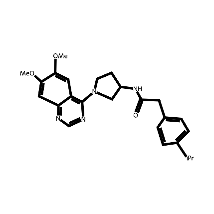 COc1cc2ncnc(N3CCC(NC(=O)Cc4ccc(C(C)C)cc4)C3)c2cc1OC